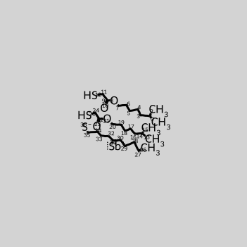 CC(C)CCCCCOC(=O)CS.CC(C)CCCCCOC(=O)CS.CCCCCCCCCC[S-].[Sb+]